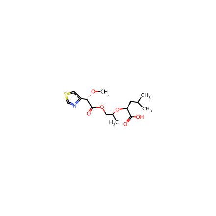 CO[C@H](C(=O)OCC(C)O[C@@H](CC(C)C)C(=O)O)c1cscn1